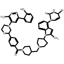 [2H]C1C=CN(c2cccc3c2cc(C)n3C2CCN(CC3CCN(C(=O)c4ccc(C5CN(c6cc(-c7ccccc7O)nnc6N)CCO5)cc4)CC3)CC2)C([2H])N1